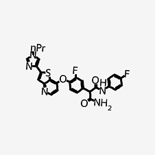 CCCn1cnc(-c2cc3nccc(Oc4ccc(C(C(N)=O)C(=O)Nc5ccc(F)cc5)cc4F)c3s2)c1